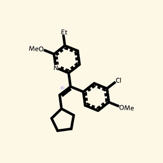 CCc1ccc(/C(=C/C2CCCC2)c2ccc(OC)c(Cl)c2)nc1OC